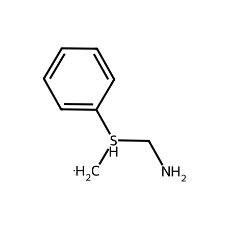 [CH2][SH](CN)c1ccccc1